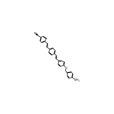 N#Cc1ccc(/C=C/c2ccc(/C=C/c3ccc(OCc4ccc([SiH3])cc4)cc3)cc2)cc1